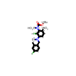 CCN(Cc1ccc(F)cc1C)c1ccc([N+](=O)[O-])c(N(C(=O)O)C(=O)OC(C)(C)C)c1F